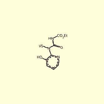 CCOC(=O)NC(=O)N(S)c1ncccc1O